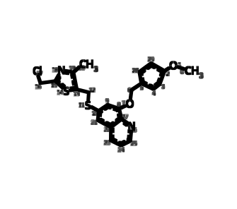 COc1ccc(COc2cc(SCc3sc(CCl)nc3C)cc3cccnc23)cc1